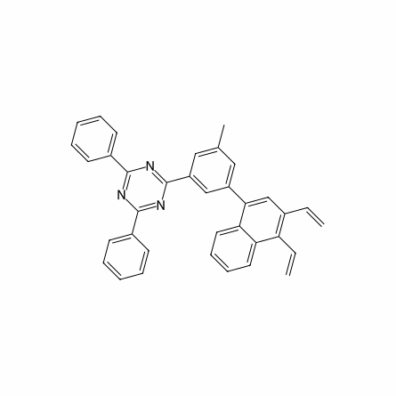 C=Cc1cc(-c2cc(C)cc(-c3nc(-c4ccccc4)nc(-c4ccccc4)n3)c2)c2ccccc2c1C=C